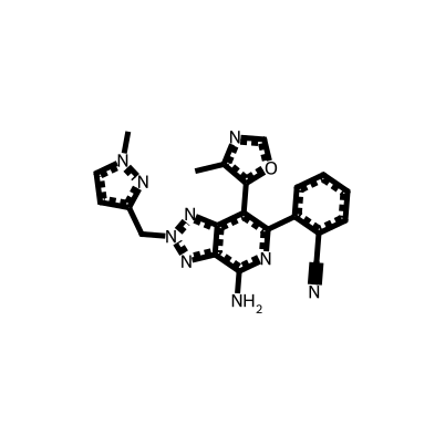 Cc1ncoc1-c1c(-c2ccccc2C#N)nc(N)c2nn(Cc3ccn(C)n3)nc12